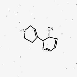 N#CC1C=CC=NC1C1=CCNCC1